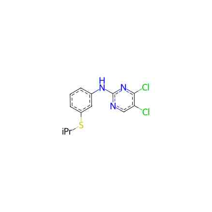 CC(C)Sc1cccc(Nc2ncc(Cl)c(Cl)n2)c1